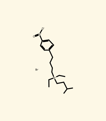 CC[N+](CC)(CCCCc1ccc([N+](=O)[O-])cc1)CCC(C)C.[Br-]